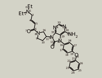 CCN(CC)C/C=C/C(=O)N1CCC(n2c(=O)n(-c3ccc(Oc4ccccc4)cc3)c3c(N)ncnc32)C1